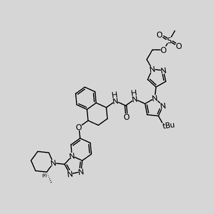 C[C@@H]1CCCCN1c1nnc2ccc(OC3CCC(NC(=O)Nc4cc(C(C)(C)C)nn4-c4cnn(CCOS(C)(=O)=O)c4)c4ccccc43)cn12